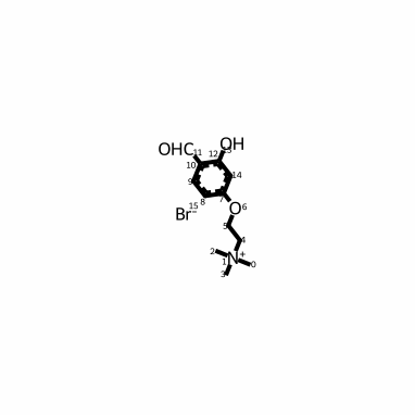 C[N+](C)(C)CCOc1ccc(C=O)c(O)c1.[Br-]